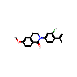 C=C(C)c1ccc(N2CCc3cc(OC)ccc3C2=O)cc1F